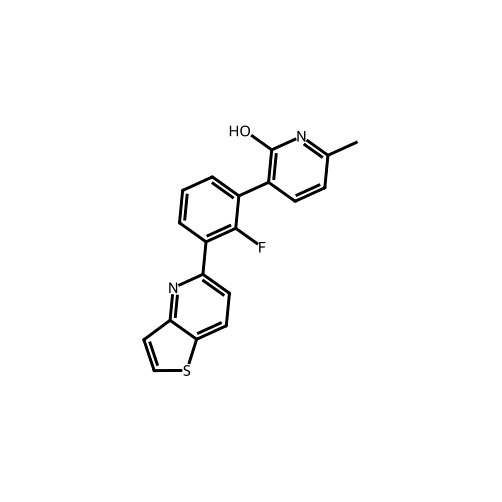 Cc1ccc(-c2cccc(-c3ccc4sccc4n3)c2F)c(O)n1